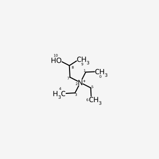 CC[N+](CC)(CC)CC(C)O